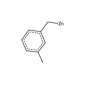 Cc1cccc([CH2][Zn])c1